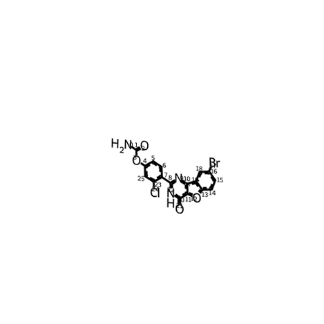 NC(=O)Oc1ccc(-c2nc3c(oc4ccc(Br)cc43)c(=O)[nH]2)c(Cl)c1